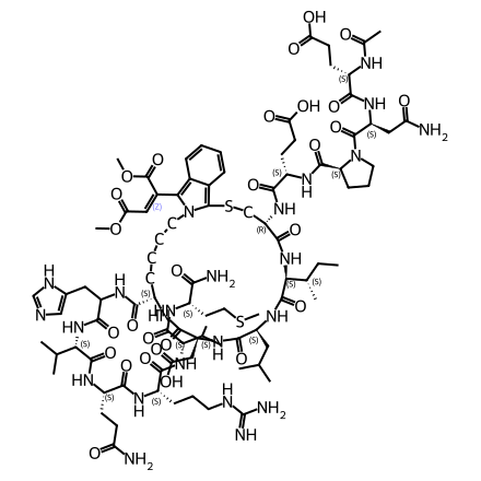 CC[C@H](C)[C@@H]1NC(=O)[C@@H](NC(=O)[C@H](CCC(=O)O)NC(=O)[C@@H]2CCCN2C(=O)[C@H](CC(N)=O)NC(=O)[C@H](CCC(=O)O)NC(C)=O)CSc2c3ccccc3c(/C(=C/C(=O)OC)C(=O)OC)n2CCCC[C@@H](C(=O)NC(Cc2cnc[nH]2)C(=O)N[C@H](C(=O)N[C@@H](CCC(N)=O)C(=O)N[C@@H](CCCNC(=N)N)C(=O)N[C@H](C(=O)N[C@@H](CCSC)C(N)=O)C(C)C)C(C)C)NC(=O)[C@H](CC(=O)O)NC(=O)[C@H](CC(C)C)NC1=O